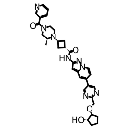 C[C@H]1CN(C(=O)c2cccnc2)CCN1[C@H]1C[C@@H](C(=O)Nc2cc3cc(-c4cnc(CO[C@H]5CCC[C@@H]5O)nc4)ccn3n2)C1